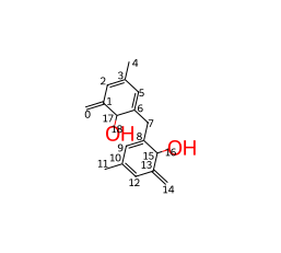 C=C1C=C(C)C=C(CC2=CC(C)=CC(=C)C2O)C1O